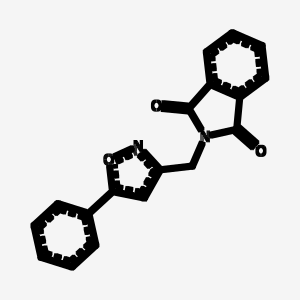 O=C1c2ccccc2C(=O)N1Cc1cc(-c2ccccc2)on1